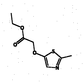 CCOC(=O)COc1cnc(C)s1